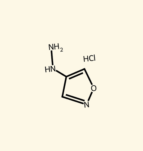 Cl.NNc1cnoc1